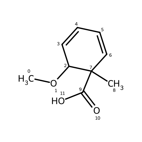 COC1C=CC=CC1(C)C(=O)O